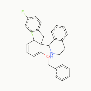 Fc1ccc(CC2(C3NCCc4ccccc43)C(OCc3ccccc3)=CC=CC2F)cc1